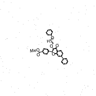 COC(=O)c1ccc(-c2oc3cc(-c4ccccc4)ccc3c(=O)c2OC=[SH]Oc2ccccc2)cc1